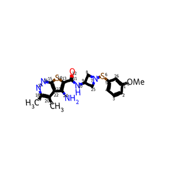 COc1cccc(SN2CC(NC(=O)c3sc4nnc(C)c(C)c4c3N)C2)c1